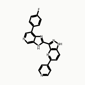 Fc1ccc(-c2cncc3[nH]c(-c4n[nH]c5ccc(-c6ccncc6)nc45)nc23)cc1